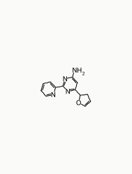 Nc1cc(C2CC=CO2)nc(-c2ccccn2)n1